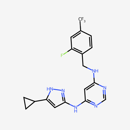 Fc1cc(C(F)(F)F)ccc1CNc1cc(Nc2cc(C3CC3)[nH]n2)ncn1